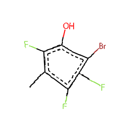 Cc1c(F)c(O)c(Br)c(F)c1F